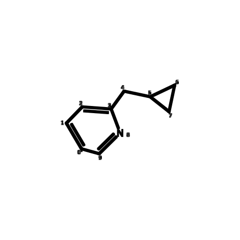 [c]1ccc(CC2CC2)nc1